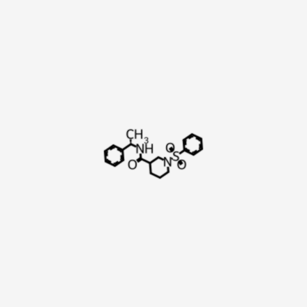 C[C@@H](NC(=O)C1CCCN(S(=O)(=O)c2ccccc2)C1)c1ccccc1